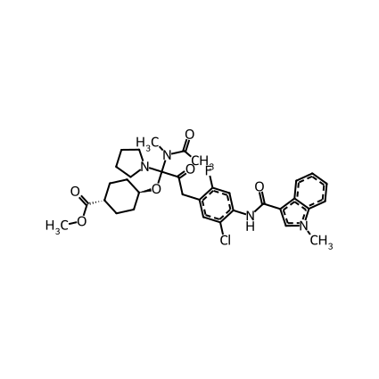 COC(=O)[C@H]1CC[C@H](OC(C(=O)Cc2cc(Cl)c(NC(=O)c3cn(C)c4ccccc34)cc2F)(N2CCCC2)N(C)C(C)=O)CC1